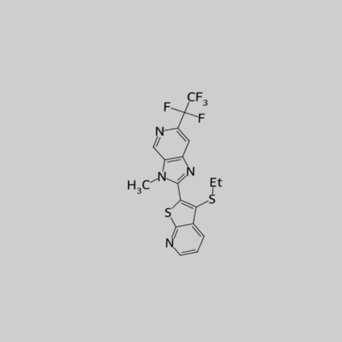 CCSc1c(-c2nc3cc(C(F)(F)C(F)(F)F)ncc3n2C)sc2ncccc12